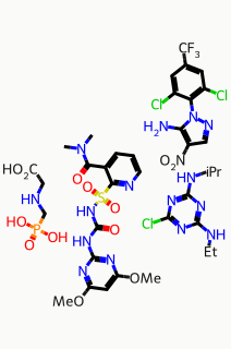 CCNc1nc(Cl)nc(NC(C)C)n1.COc1cc(OC)nc(NC(=O)NS(=O)(=O)c2ncccc2C(=O)N(C)C)n1.Nc1c([N+](=O)[O-])cnn1-c1c(Cl)cc(C(F)(F)F)cc1Cl.O=C(O)CNCP(=O)(O)O